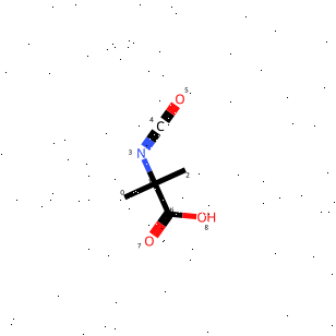 CC(C)(N=C=O)C(=O)O